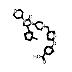 Cc1cccc(C2CN(C3CCOCC3)C(=O)N2C2CCN(Cc3ccc(Oc4ccc(C(=O)O)cc4)nc3)CC2)c1